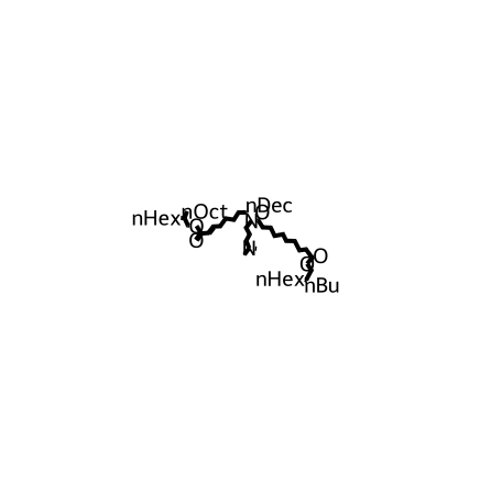 CCCCCCCCCCC(CCCCC=CC(=O)OCC(CCCCCC)CCCCCCCC)N(CCCN(C)C)C(=O)CCCCCCCCC(=O)OCC(CCCC)CCCCCC